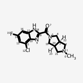 CN1C[C@@H]2CN(C(=O)c3nc4c(Cl)cc(F)cc4[nH]3)C[C@@H]2C1